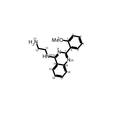 COc1ccccc1-c1nc(NCCN)c2ccccc2n1